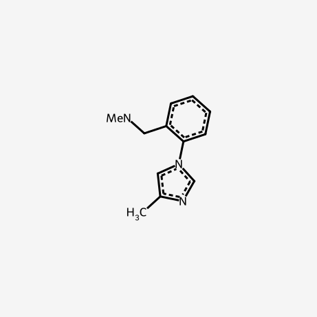 CNCc1ccccc1-n1cnc(C)c1